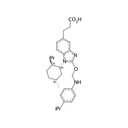 CC(C)c1ccc(NCOc2nc3cc(CCC(=O)O)ccc3n2[C@@H]2C[C@H](C)CC[C@H]2C(C)C)cc1